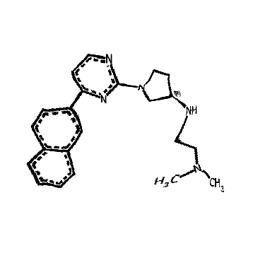 CN(C)CCN[C@@H]1CCN(c2nccc(-c3ccc4ccccc4c3)n2)C1